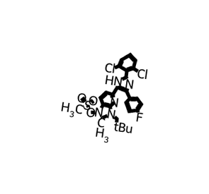 CC1N(CC(C)(C)C)c2nc(-c3[nH]c(-c4c(Cl)cccc4Cl)nc3-c3ccc(F)cc3)ccc2N1OS(C)(=O)=O